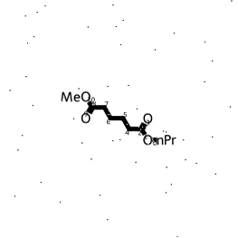 CCCOC(=O)CCCCC(=O)OC